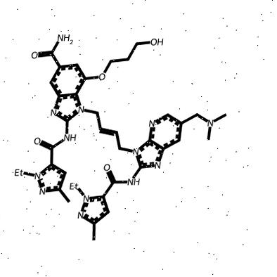 CCn1nc(C)cc1C(=O)Nc1nc2cc(CN(C)C)cnc2n1C/C=C/Cn1c(NC(=O)c2cc(C)nn2CC)nc2cc(C(N)=O)cc(OCCCO)c21